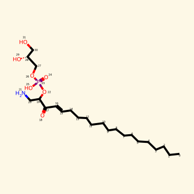 CCCCCCCCCCCCCCCC=CC(=O)C(CN)OP(=O)(O)OC[C@H](O)CO